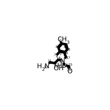 Cc1ccc2c(c1)C[C@@H]([C@H](O)CN)N(BC=O)C2